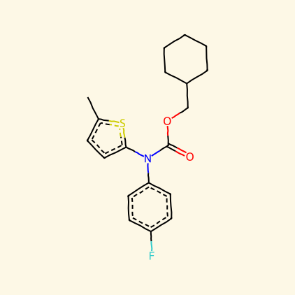 Cc1ccc(N(C(=O)OCC2CCCCC2)c2ccc(F)cc2)s1